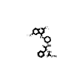 COC(=O)N[C@@H](C(=O)N[C@@H]1CCC[C@H](Nc2cc(C(F)(F)F)nc3ccc(C)cc23)C1)c1ccccc1